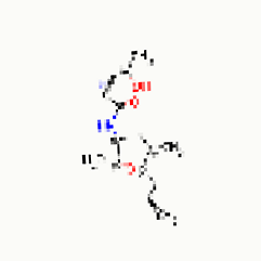 C=CC[C@@H]1O[C@H](C)[C@H](NC(=O)/C=C\[C@H](C)O)C[C@@H]1C